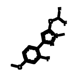 COc1ccc(-c2cc(OC(F)F)n(C)n2)c(F)c1